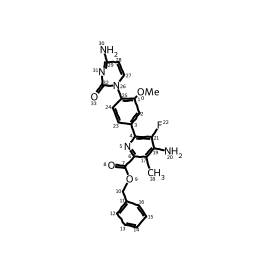 COc1cc(-c2nc(C(=O)OCc3ccccc3)c(C)c(N)c2F)ccc1-n1ccc(N)nc1=O